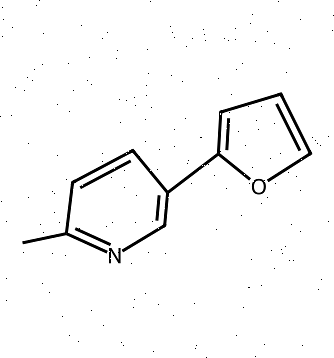 Cc1ccc(-c2ccco2)cn1